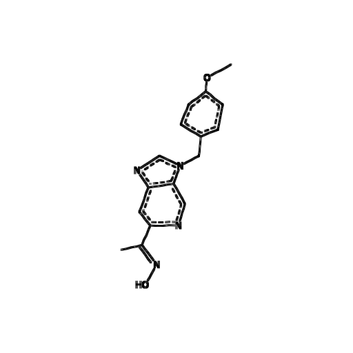 COc1ccc(Cn2cnc3cc(C(C)=NO)ncc32)cc1